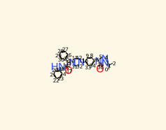 CC(C)n1ncn(-c2ccc(N3CCN(C(C(=O)Nc4ccccc4)c4ccccc4)CC3)cc2)c1=O